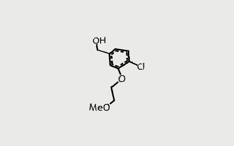 COCCOc1cc(CO)ccc1Cl